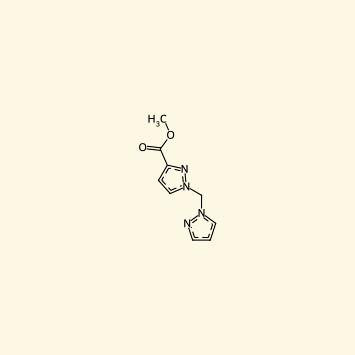 COC(=O)c1ccn(Cn2cccn2)n1